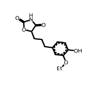 CCOc1cc(CCCC2OC(=O)NC2=O)ccc1O